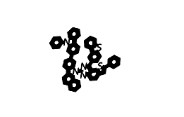 c1ccc(-c2cc3ccc4nc(-n5c6cc(-c7ccc8c9ccccc9n(-c9ccccc9)c8c7)ccc6c6ccc7ccccc7c65)nc(-c5ccc6sc7ccccc7c6c5)c4c3s2)cc1